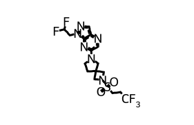 O=S(=O)(CCC(F)(F)F)N1CC2(CCN(c3cnc4cnn(CC(F)F)c4n3)C2)C1